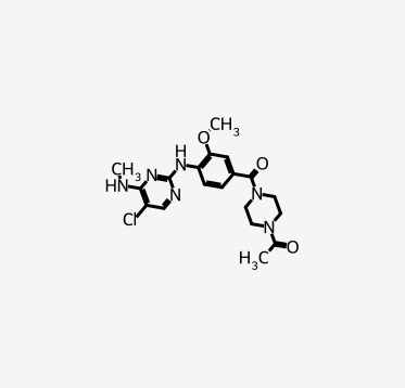 CNc1nc(Nc2ccc(C(=O)N3CCN(C(C)=O)CC3)cc2OC)ncc1Cl